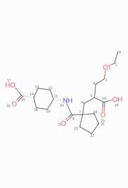 CCOCCC(CC1(C(=O)N[C@H]2CC[C@@H](C(=O)O)CC2)CCCC1)C(=O)O